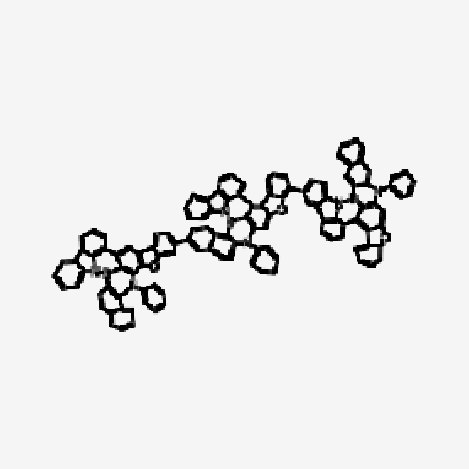 c1ccc(N2c3cc4ccccc4cc3B3c4c2cc2oc5ccccc5c2c4-c2cccc4c5cc(-c6cccc7c6oc6cc8c9c(c67)-c6cccc7c%10ccccc%10n(c67)B9c6c(ccc7cc(-c9ccc%10c(c9)oc9c%11c%12c(cc9%10)-c9cccc%10c%13ccccc%13n(c9%10)B%12c9ccc%10ccccc%10c9N%11c9ccccc9)ccc67)N8c6ccccc6)ccc5n3c24)cc1